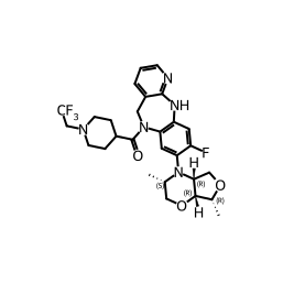 C[C@H]1OC[C@@H]2[C@H]1OC[C@H](C)N2c1cc2c(cc1F)Nc1ncccc1CN2C(=O)C1CCN(CC(F)(F)F)CC1